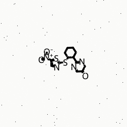 O=C1C=NC(C2CCCCC2Sc2ncc([N+](=O)[O-])s2)=NC1